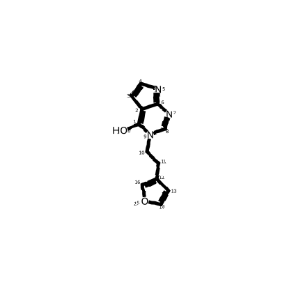 Oc1c2ccnc-2ncn1CCc1ccoc1